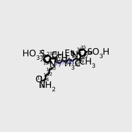 CC[N+]1=C(/C=C/C=C/C=C2/N(CCCCCC(N)=O)c3ccc(S(=O)(=O)O)cc3C2(C)C)C(C)(C)c2cc(S(=O)(=O)O)ccc21